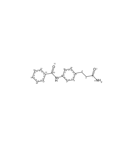 NC(=O)CCc1ccc(NC(=O)c2ccccc2)cc1